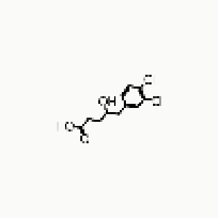 O=C(O)CCC(O)Cc1ccc(Cl)c(Cl)c1